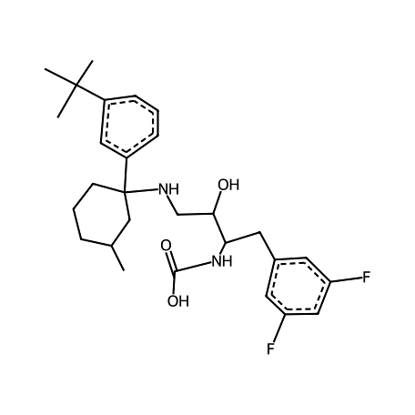 CC1CCCC(NCC(O)C(Cc2cc(F)cc(F)c2)NC(=O)O)(c2cccc(C(C)(C)C)c2)C1